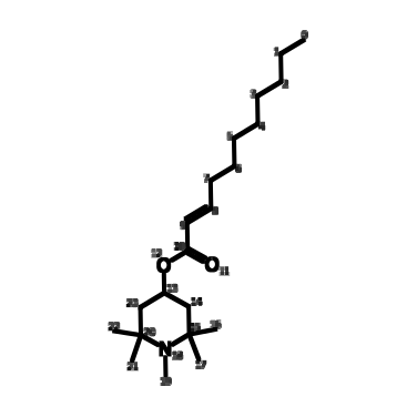 CCCCCCCCC=CC(=O)OC1CC(C)(C)N(C)C(C)(C)C1